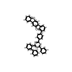 c1ccc(-c2nc(-c3ccc(-c4cccc5c4oc4cc6c(cc45)oc4ccccc46)cc3)nc(-c3ccccc3-c3ccccc3)n2)cc1